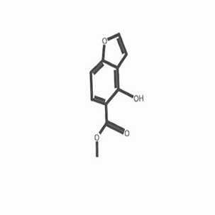 COC(=O)c1ccc2occc2c1O